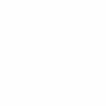 C=CCC(O)(c1ccc(F)cc1)C1CC1